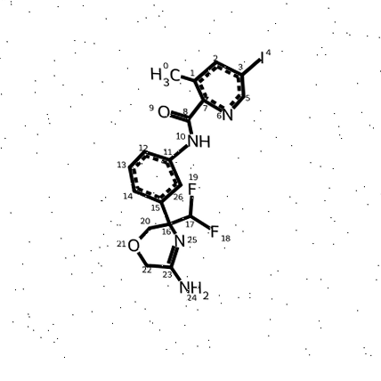 Cc1cc(I)cnc1C(=O)Nc1cccc(C2(C(F)F)COCC(N)=N2)c1